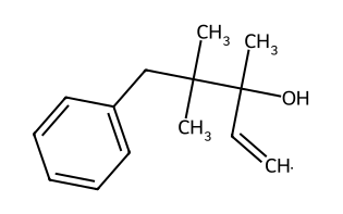 [CH]=CC(C)(O)C(C)(C)Cc1ccccc1